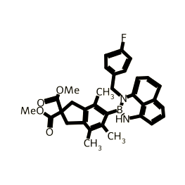 COC(=O)C1(C(=O)OC)Cc2c(C)c(C)c(B3Nc4cccc5cccc(c45)N3Cc3ccc(F)cc3)c(C)c2C1